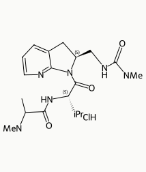 CNC(=O)NC[C@@H]1Cc2cccnc2N1C(=O)[C@@H](NC(=O)C(C)NC)C(C)C.Cl